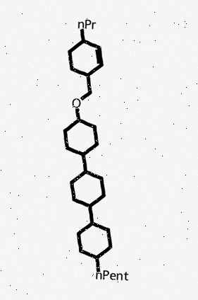 CCCCCC1CCC(C2CCC(C3CCC(OCC4C=CC(CCC)CC4)CC3)CC2)CC1